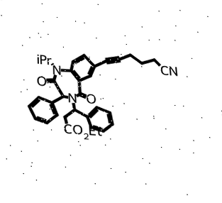 CCOC(=O)CC(c1ccccc1)N1C(=O)c2cc(C#CCCCC#N)ccc2N(C(C)C)C(=O)C1c1ccccc1